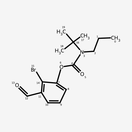 CCCN(C(=O)Oc1cccc(C=O)c1Br)C(C)(C)C